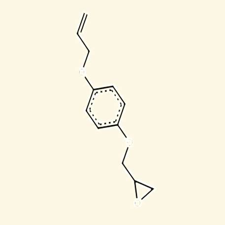 C=CCOc1ccc(OCC2CO2)cc1